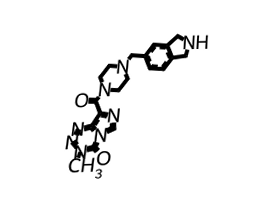 Cn1nnc2c(C(=O)N3CCN(Cc4ccc5c(c4)CNC5)CC3)ncn2c1=O